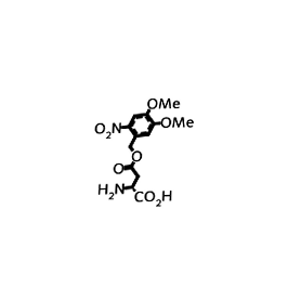 COc1cc(COC(=O)C[C@H](N)C(=O)O)c([N+](=O)[O-])cc1OC